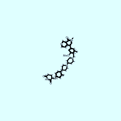 COc1cc(-c2cn(C)c(=O)c3cnccc23)cc(F)c1CN1CCC(N2CCC(c3ccc(NC4CCC(=O)NC4=O)cc3F)CC2)CC1